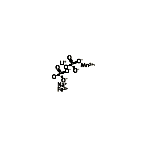 O=P([O-])([O-])[O-].O=P([O-])([O-])[O-].[Fe+2].[Li+].[Mn+2].[Na+]